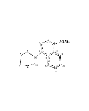 COc1ccc(N2CCCCC2)c2cnccc12